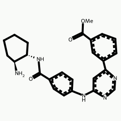 COC(=O)c1cccc(-c2cc(Nc3ccc(C(=O)N[C@H]4CCCC[C@@H]4N)cc3)ncn2)c1